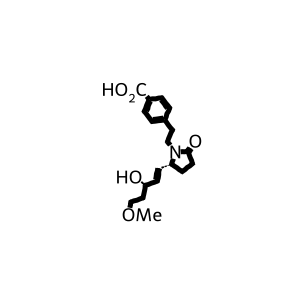 COCC[C@H](O)C=C[C@H]1CCC(=O)N1CCc1ccc(C(=O)O)cc1